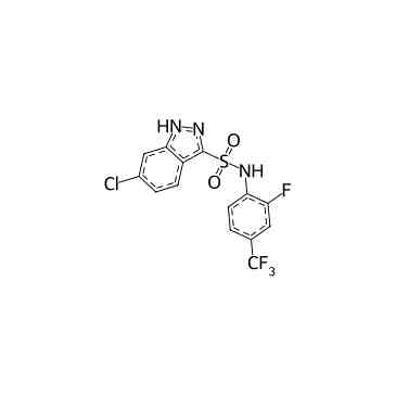 O=S(=O)(Nc1ccc(C(F)(F)F)cc1F)c1n[nH]c2cc(Cl)ccc12